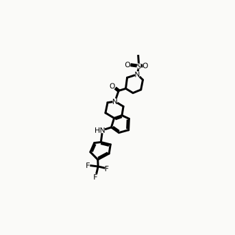 CS(=O)(=O)N1CCCC(C(=O)N2CCc3c(cccc3Nc3ccc(C(F)(F)F)cc3)C2)C1